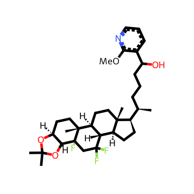 COc1ncccc1C(O)CCC[C@@H](C)[C@H]1CC[C@H]2[C@H]3[C@H](CC[C@]12C)[C@@]1(C)CC[C@@H]2OC(C)(C)O[C@@H]2[C@]1(F)CC3(F)F